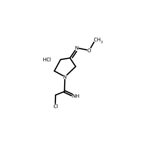 CON=C1CCN(C(=N)CCl)C1.Cl